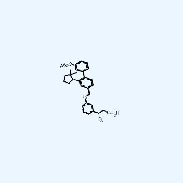 CC[C@@H](CC(=O)O)c1cccc(OCc2ccc(-c3cccc(OC)c3)c([C@H]3CCCC3(C)C)c2)c1